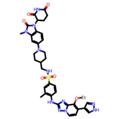 CCOc1c(-c2cn[nH]c2)ccn2nc(Nc3ccc(S(=O)(=O)NCC4CCN(c5ccc6c(c5)n(C)c(=O)n6C5CCC(=O)NC5=O)CC4)cc3C)nc12